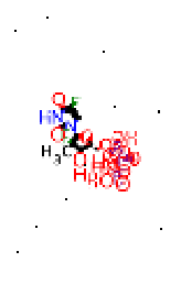 C[C@@]1(F)[C@H](O)[C@@H](COP(=O)(O)OP(=O)(O)OP(=O)(O)O)O[C@H]1n1cc(F)c(=O)[nH]c1=O